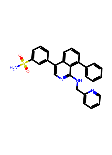 NS(=O)(=O)c1cccc(-c2cnc(NCc3ccccn3)c3c(-c4ccccc4)cccc23)c1